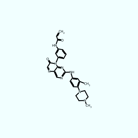 C=CC(=O)Nc1cccc(-n2c(=O)cnc3cnc(Nc4ccc(N5CCN(C)CC5)c(C)c4)nc32)c1